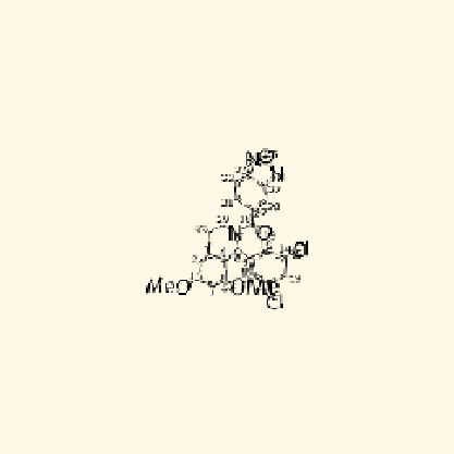 COc1cc2c(c(OC)c1)C(c1cc(Cl)cc(Cl)c1)N(C(=O)c1ccc3nonc3c1)CC2